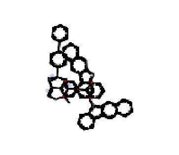 CC1C/C=C(c2ccc(-c3ccccc3)cc2)/N=C(c2ccc(-c3ccccc3)cc2)\N=C/1c1cc(-n2c3ccccc3c3cc4ccccc4cc32)cc2sc3cc4ccccc4cc3c12